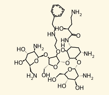 NCC[C@H](O)C(=O)N[C@@H]1C[C@H](N)[C@@H](O[C@H]2O[C@H](CO)[C@@H](O)[C@H](O)[C@H]2N)[C@H](O[C@@H]2O[C@H](CO)[C@@H](O[C@H]3O[C@@H](CN)[C@@H](O)[C@H](O)[C@H]3N)[C@H]2OCCNCCc2ccccc2)[C@H]1O